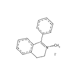 C[N+]1=C(c2ccccc2)c2ccccc2CC1.[I-]